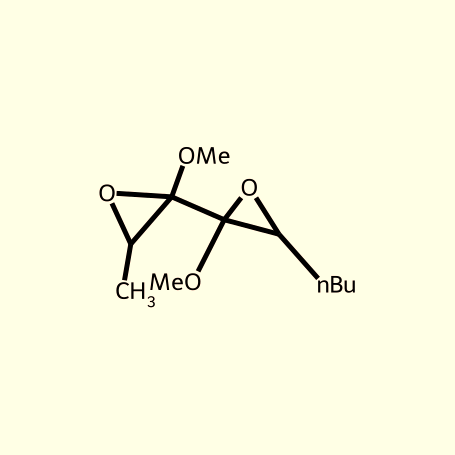 CCCCC1OC1(OC)C1(OC)OC1C